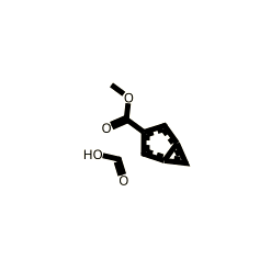 COC(=O)c1cc2cc-2c1.O=CO